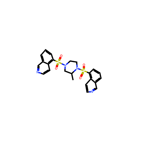 CC1CN(S(=O)(=O)c2cccc3cnccc23)CCN1S(=O)(=O)c1cccc2cnccc12